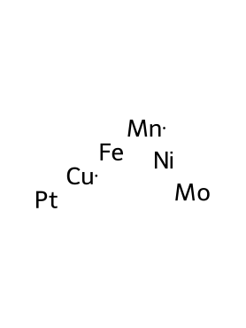 [Cu].[Fe].[Mn].[Mo].[Ni].[Pt]